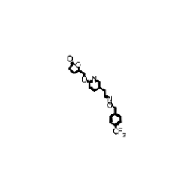 O=C1CCC(COc2ccc(CC=NOCc3ccc(C(F)(F)F)cc3)cn2)O1